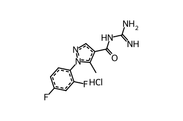 Cc1c(C(=O)NC(=N)N)cnn1-c1ccc(F)cc1F.Cl